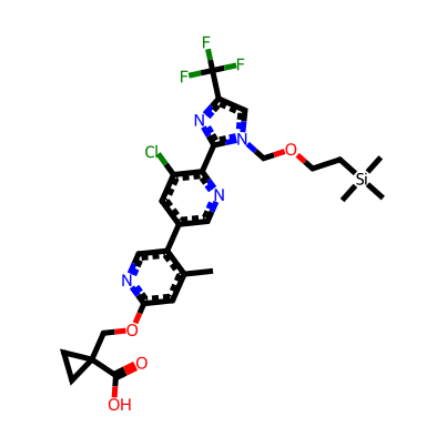 Cc1cc(OCC2(C(=O)O)CC2)ncc1-c1cnc(-c2nc(C(F)(F)F)cn2COCC[Si](C)(C)C)c(Cl)c1